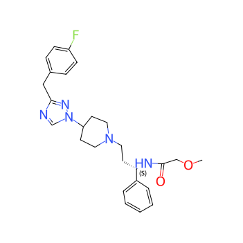 COCC(=O)N[C@@H](CCN1CCC(n2cnc(Cc3ccc(F)cc3)n2)CC1)c1ccccc1